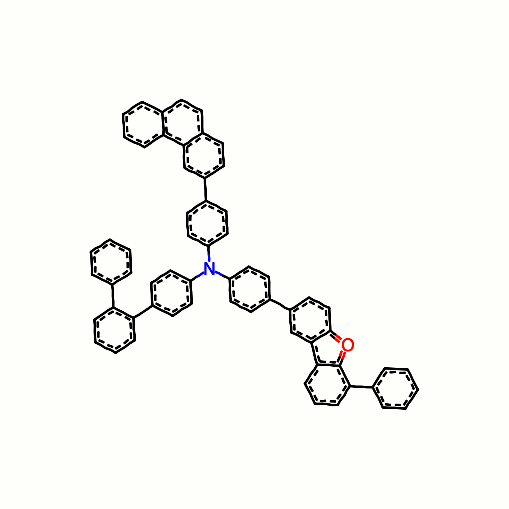 c1ccc(-c2ccccc2-c2ccc(N(c3ccc(-c4ccc5ccc6ccccc6c5c4)cc3)c3ccc(-c4ccc5oc6c(-c7ccccc7)cccc6c5c4)cc3)cc2)cc1